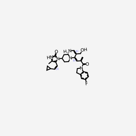 C=C(/C=C(\C(=C/N)CO)N1CCC(n2c(/C=C\C3CC3)c(C)[nH]c2=O)CC1)C(=O)N1CCc2cc(F)ccc21